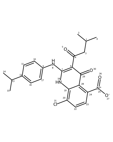 CC(C)CC(=O)c1c(Nc2ccc(C(C)C)cc2)[nH]c2c(Cl)ccc([N+](=O)[O-])c2c1=O